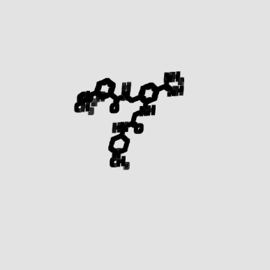 CC(=O)O.CN1CCC(NC(=O)CNc2cc(C(=N)N)ccc2CNC(=O)c2cccc(Cl)c2)CC1